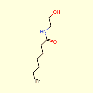 CC(C)CCCCCC(=O)NCCO